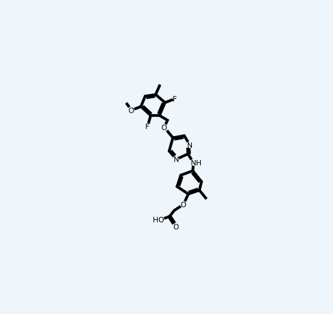 COc1cc(C)c(F)c(COc2cnc(Nc3ccc(OCC(=O)O)c(C)c3)nc2)c1F